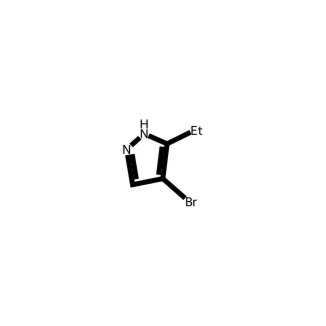 [CH2-][CH+]c1[nH]ncc1Br